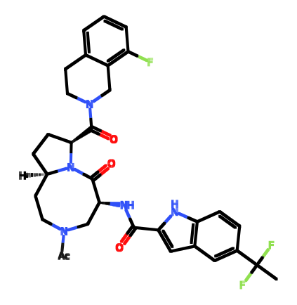 CC(=O)N1CC[C@H]2CC[C@@H](C(=O)N3CCc4cccc(F)c4C3)N2C(=O)[C@@H](NC(=O)c2cc3cc(C(C)(F)F)ccc3[nH]2)C1